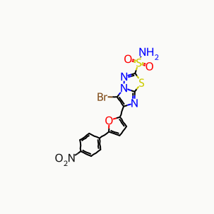 NS(=O)(=O)c1nn2c(Br)c(-c3ccc(-c4ccc([N+](=O)[O-])cc4)o3)nc2s1